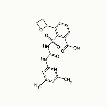 Cc1cc(C)nc(NC(=O)NS(=O)(=O)c2c(C(=O)O)cccc2C2CCO2)n1